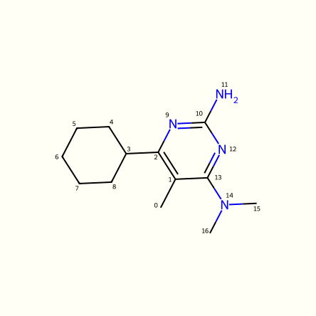 Cc1c(C2CCCCC2)nc(N)nc1N(C)C